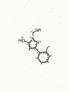 Cc1ccccc1-c1cc(O)n(CC(C)C)n1